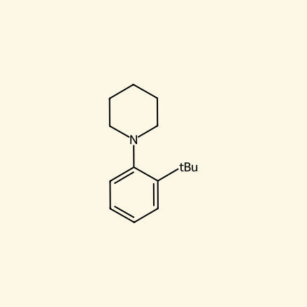 CC(C)(C)c1ccccc1N1CCCCC1